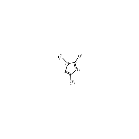 Cn1cc(C(F)(F)F)nc1Cl